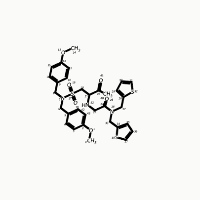 COc1ccc(CN(Cc2ccc(OC)cc2)S(=O)(=O)CC(NCC(=O)N(Cc2cccs2)Cc2cccs2)C(C)=O)cc1